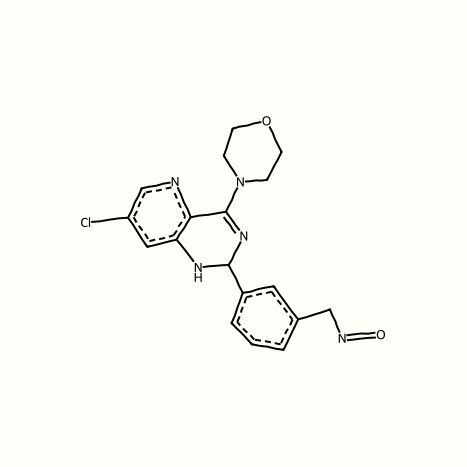 O=NCc1cccc(C2N=C(N3CCOCC3)c3ncc(Cl)cc3N2)c1